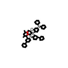 Cc1ccc(-c2cc(-c3ccccc3)ccc2N2c3ccc(-c4ccccc4)cc3B3c4ccc(N(c5ccccc5)c5ccccc5)cc4Oc4cccc2c43)c(C)c1